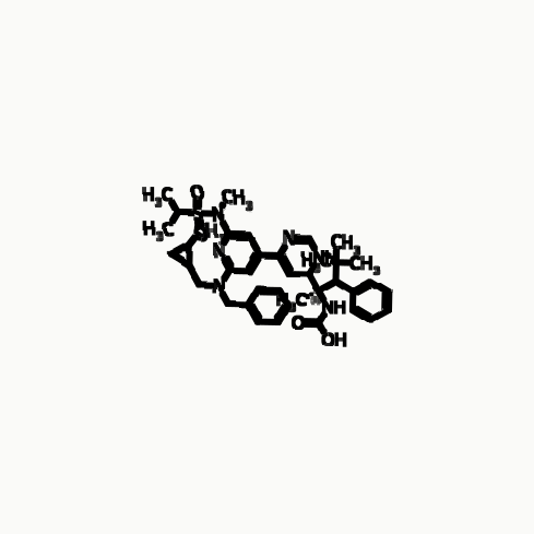 CC1CC1CN(Cc1ccccc1)c1cc(C2=CC([C@](C)(NC(=O)O)C(c3ccccc3)C(C)(C)C)NC=N2)cc(N(C)S(=O)(=O)C(C)C)n1